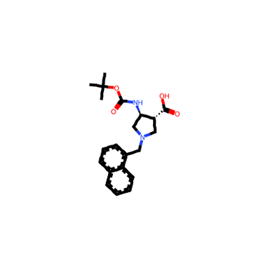 CC(C)(C)OC(=O)N[C@@H]1CN(Cc2cccc3ccccc23)C[C@H]1C(=O)O